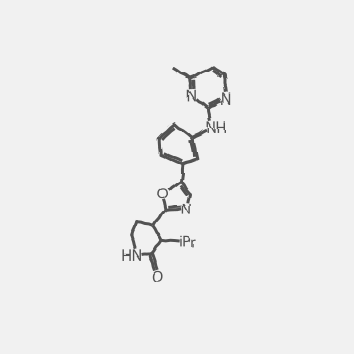 Cc1ccnc(Nc2cccc(-c3cnc(C4CCNC(=O)C4C(C)C)o3)c2)n1